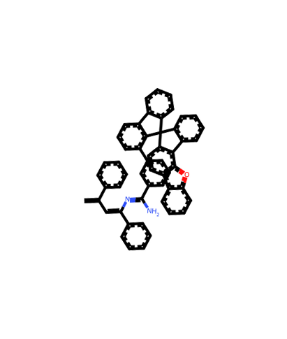 C=C(/C=C(\N=C(/N)c1cccc(-c2cccc3c2C2(c4ccccc4-3)c3ccccc3-c3c2ccc2c3oc3ccccc32)c1)c1ccccc1)c1ccccc1